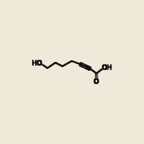 O=C(O)C#CCCCCO